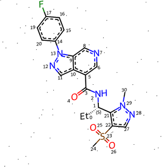 CC[C@H](NC(=O)c1cncc2c1cnn2-c1ccc(F)cc1)c1c(S(C)(=O)=O)cnn1C